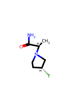 C[C@H](C(N)=O)N1CC[C@@H](F)C1